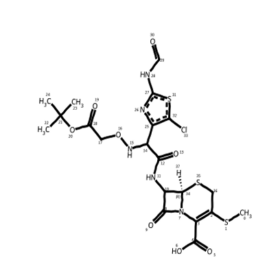 CSC1=C(C(=O)O)N2C(=O)C(NC(=O)C(NOCC(=O)OC(C)(C)C)c3nc(NC=O)sc3Cl)[C@H]2SC1